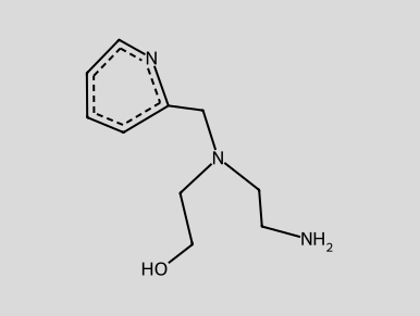 NCCN(CCO)Cc1ccccn1